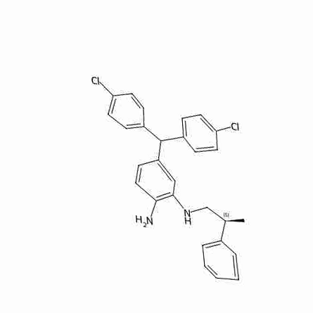 C[C@H](CNc1cc(C(c2ccc(Cl)cc2)c2ccc(Cl)cc2)ccc1N)c1ccccc1